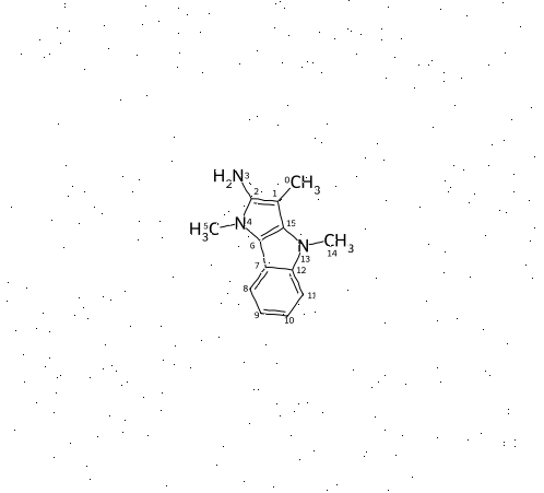 Cc1c(N)n(C)c2c3ccccc3n(C)c12